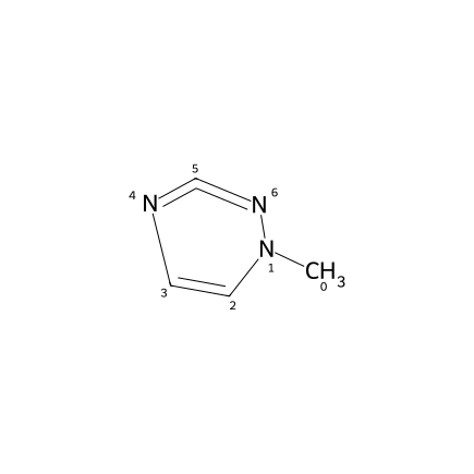 CN1C=CN=C=N1